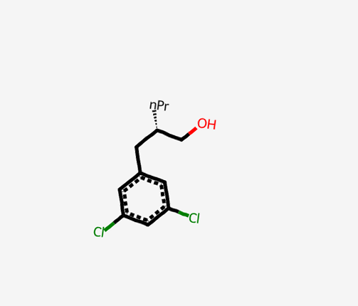 CCC[C@H](CO)Cc1cc(Cl)cc(Cl)c1